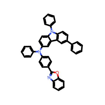 c1ccc(-c2ccc3c(c2)c2cc(N(c4ccccc4)c4ccc(-c5nc6ccccc6o5)cc4)ccc2n3-c2ccccc2)cc1